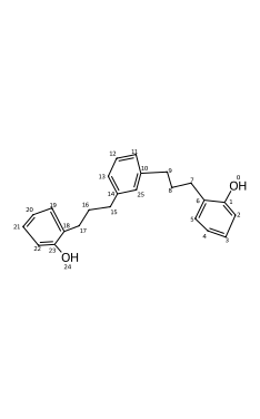 Oc1ccccc1CCCc1cccc(CCCc2ccccc2O)c1